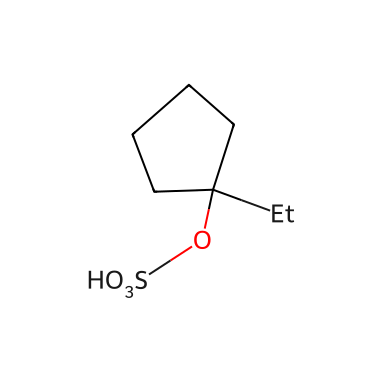 CCC1(OS(=O)(=O)O)CCCC1